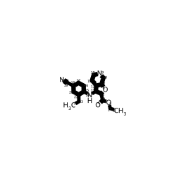 CCOC(=O)c1oc2cnccc2c1Nc1ccc(C#N)cc1CC